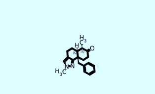 C[C@@H]1C(=O)CC[C@]2(Cc3ccccc3)c3nn(C)cc3CC[C@@H]12